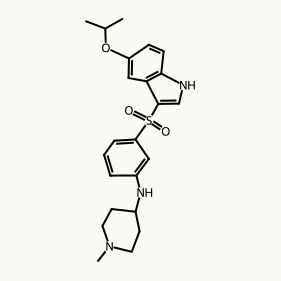 CC(C)Oc1ccc2[nH]cc(S(=O)(=O)c3cccc(NC4CCN(C)CC4)c3)c2c1